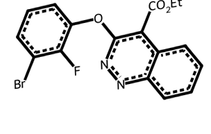 CCOC(=O)c1c(Oc2cccc(Br)c2F)nnc2ccccc12